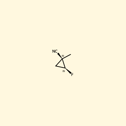 C[C@@]1(C#N)C[C@@H]1F